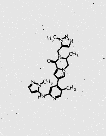 Cc1cnc(Nc2ccnn2C)cc1-c1cc2n(c1)CC(C)N(Cc1cnnn1C)C2=O